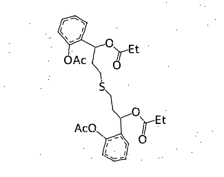 CCC(=O)OC(CCSCCC(OC(=O)CC)c1ccccc1OC(C)=O)c1ccccc1OC(C)=O